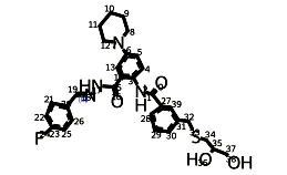 O=C(Nc1ccc(N2CCCCC2)cc1C(=O)N/N=C/c1ccc(F)cc1)c1cccc(CSCC(O)CO)c1